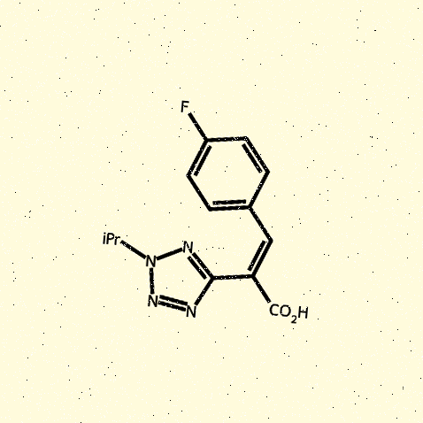 CC(C)n1nnc(C(=Cc2ccc(F)cc2)C(=O)O)n1